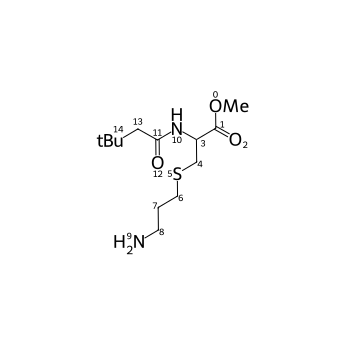 COC(=O)C(CSCCCN)NC(=O)CC(C)(C)C